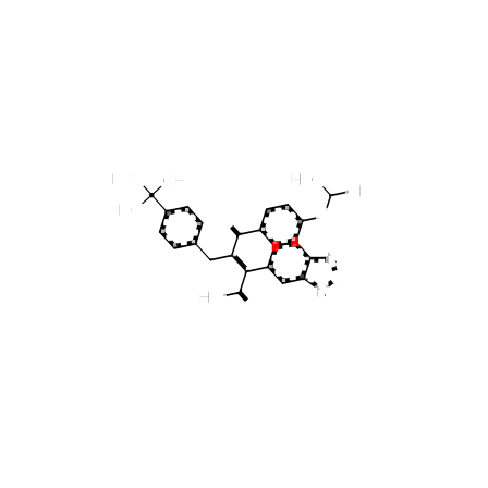 CC(C)Oc1ccc(C(=O)/C(Cc2ccc(C(C)(C)C)cc2)=C(/C(=O)O)c2ccc3nsnc3c2)cc1